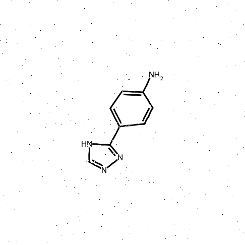 Nc1ccc(-c2nn[c][nH]2)cc1